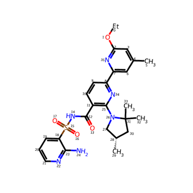 CCOc1cc(C)cc(-c2ccc(C(=O)NS(=O)(=O)c3cccnc3N)c(N3C[C@@H](C)CC3(C)C)n2)n1